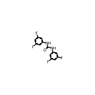 O=C(Nc1cc(F)cc(F)c1)Nc1cc(F)cc(F)c1